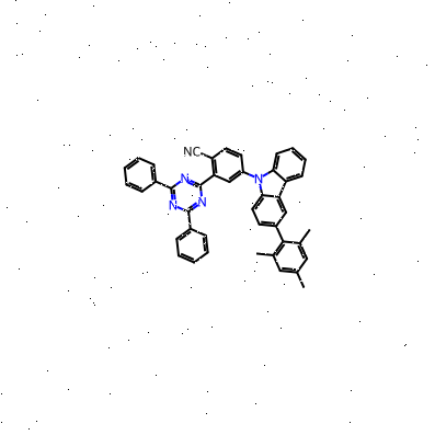 Cc1cc(C)c(-c2ccc3c(c2)c2ccccc2n3-c2ccc(C#N)c(-c3nc(-c4ccccc4)nc(-c4ccccc4)n3)c2)c(C)c1